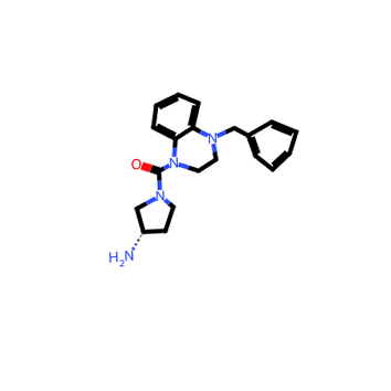 N[C@H]1CCN(C(=O)N2CCN(Cc3ccccc3)c3ccccc32)C1